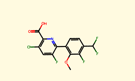 COc1c(-c2nc(C(=O)O)c(Cl)cc2F)ccc(C(F)F)c1F